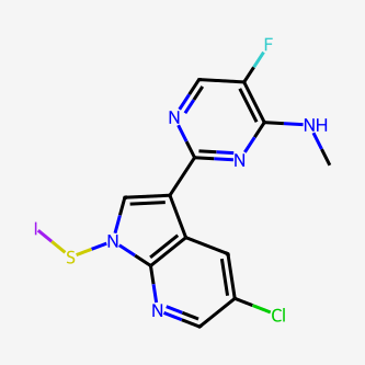 CNc1nc(-c2cn(SI)c3ncc(Cl)cc23)ncc1F